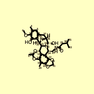 COc1c(C)cc2c(c1O)[C@@H]1C3Cc4c(OC(C)=O)c(C)c5c(c4[C@H](CNC(=O)CC(C)C)N3[C@@H](O)[C@@H](C2)N1C)OCO5